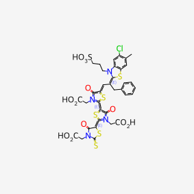 Cc1cc2c(cc1Cl)N(CCCS(=O)(=O)O)/C(=C(\C=c1s/c(=c3/s/c(=C4/SC(=S)N(CC(=O)O)C4=O)n(CC(=O)O)c3=O)n(CC(=O)O)c1=O)Cc1ccccc1)S2